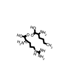 CCCCC(N)C(=O)O.N=C(N)NCCC[C@@H](N)C(=O)O